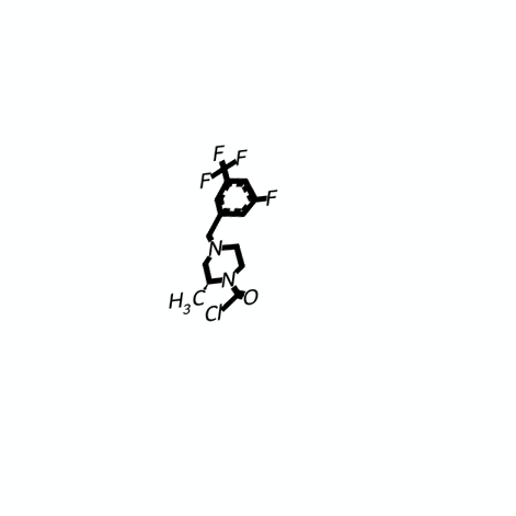 C[C@@H]1CN(Cc2cc(F)cc(C(F)(F)F)c2)CCN1C(=O)Cl